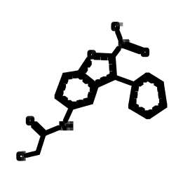 O=C(CCl)Nc1ccc2oc([N+](=O)[O-])c(-c3ccccc3)c2c1